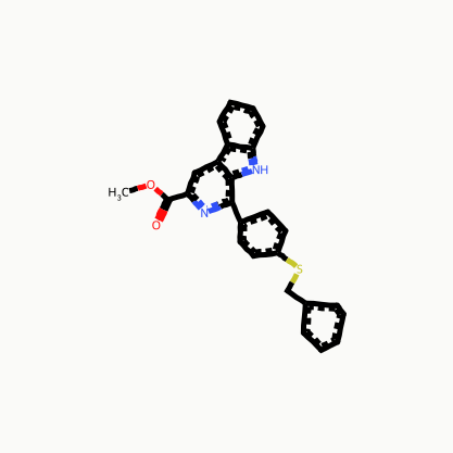 COC(=O)c1cc2c([nH]c3ccccc32)c(-c2ccc(SCc3ccccc3)cc2)n1